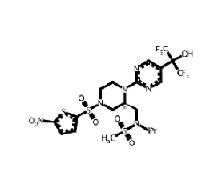 CC(C)N(C[C@H]1CN(S(=O)(=O)c2ccc([N+](=O)[O-])s2)CCN1c1ncc(C(O)(C(F)(F)F)C(F)(F)F)cn1)S(C)(=O)=O